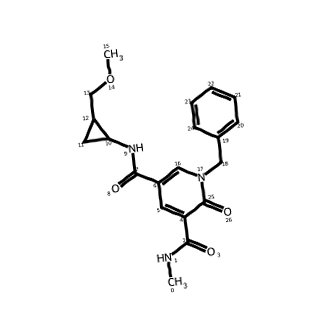 CNC(=O)c1cc(C(=O)NC2CC2COC)cn(Cc2ccccc2)c1=O